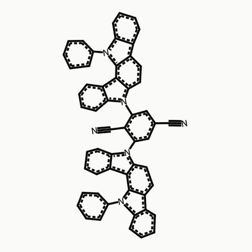 N#Cc1cc(-n2c3ccccc3c3c2ccc2c4ccccc4n(-c4ccccc4)c23)c(C#N)c(-n2c3ccccc3c3c2ccc2c4ccccc4n(-c4ccccc4)c23)c1